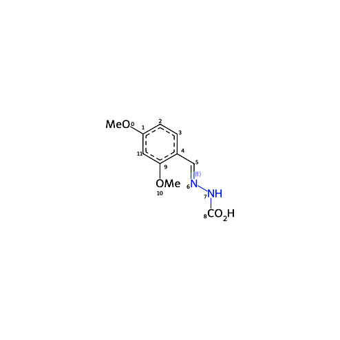 COc1ccc(/C=N/NC(=O)O)c(OC)c1